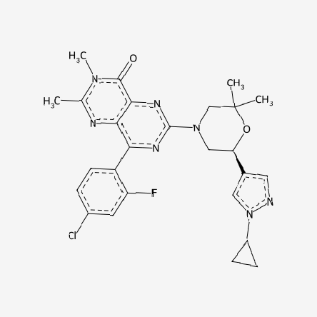 Cc1nc2c(-c3ccc(Cl)cc3F)nc(N3C[C@H](c4cnn(C5CC5)c4)OC(C)(C)C3)nc2c(=O)n1C